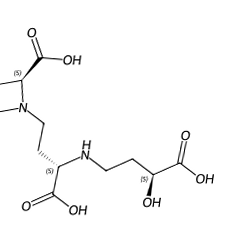 O=C(O)[C@H](CCN1CC[C@H]1C(=O)O)NCC[C@H](O)C(=O)O